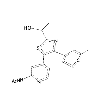 CC(=O)Nc1cc(-c2sc(C(C)O)nc2-c2cccc(C)c2)ccn1